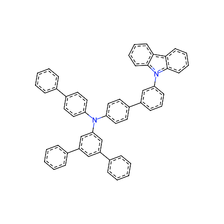 c1ccc(-c2ccc(N(c3ccc(-c4cccc(-n5c6ccccc6c6ccccc65)c4)cc3)c3cc(-c4ccccc4)cc(-c4ccccc4)c3)cc2)cc1